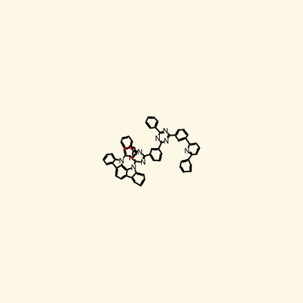 c1ccc(-c2cccc(-c3cccc(-c4nc(-c5ccccc5)nc(-c5cccc(-c6nc(-c7ccccc7)nc(-n7c8ccccc8c8ccc9c%10ccccc%10n(-c%10ccccc%10)c9c87)n6)c5)n4)c3)n2)cc1